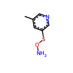 Cc1cncc(SON)c1